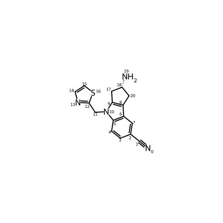 N#Cc1ccc2c(c1)c1c(n2Cc2nccs2)C[C@H](N)C1